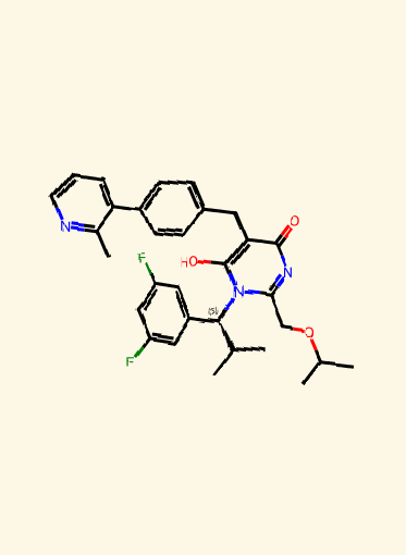 Cc1ncccc1-c1ccc(Cc2c(O)n([C@H](c3cc(F)cc(F)c3)C(C)C)c(COC(C)C)nc2=O)cc1